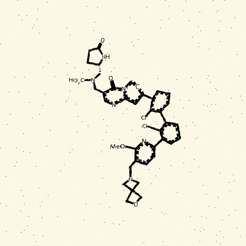 COc1nc(-c2cccc(-c3cccc(-c4ccn5c(=O)c(CN(C[C@@H]6CCC(=O)N6)C(=O)O)cnc5c4)c3Cl)c2Cl)ccc1CN1CC2(COC2)C1